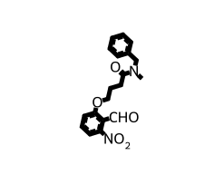 CN(Cc1ccccc1)C(=O)CCCOc1cccc([N+](=O)[O-])c1C=O